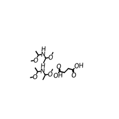 COC(C)NC(C)OC.COC(C)NC(C)OC.O=C(O)CCC(=O)O